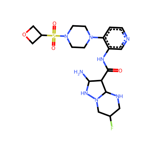 NC1NN2CC(F)CNC2C1C(=O)Nc1cnccc1N1CCN(S(=O)(=O)C2COC2)CC1